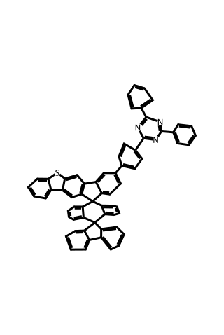 c1ccc(-c2nc(-c3ccccc3)nc(-c3ccc(-c4ccc5c(c4)-c4cc6sc7ccccc7c6cc4C54c5ccccc5C5(c6ccccc6-c6ccccc65)c5ccccc54)cc3)n2)cc1